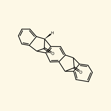 O=C1C2c3ccccc3C1c1cc3c(cc12)C1C(=O)[C@@H]3c2ccccc21